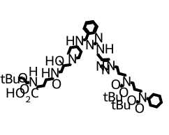 CC(C)(C)OC(=O)N[C@@H](CCC(=O)NC[C@@H](O)CN1CCC(Nc2nc(NCc3cn(CCCN(CCCN(C(=O)OC(C)(C)C)C4CCCCC4)C(=O)OC(C)(C)C)nn3)nc3ccccc23)CC1)C(=O)O